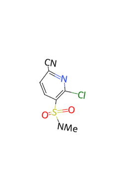 CNS(=O)(=O)c1ccc(C#N)nc1Cl